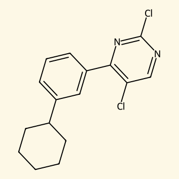 Clc1ncc(Cl)c(-c2cccc(C3CCCCC3)c2)n1